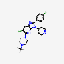 CC(C)(C)N1CCN(c2nc3c(cc2F)nc(-c2ccc(F)cc2)n3-c2ccncc2)CC1